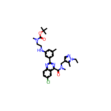 CCn1ncc(CN(C)C(=O)c2nc(-c3cc(C)cc(NCCN(C)C(=O)OC(C)(C)C)c3)nc3ccc(Cl)cc23)c1C